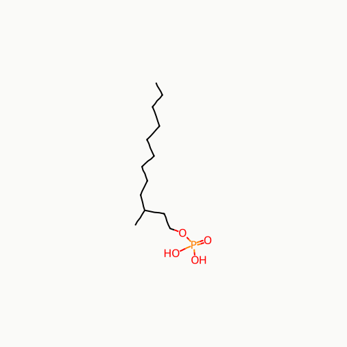 CCCCCCCCCC(C)CCOP(=O)(O)O